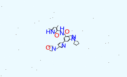 Cc1cc(C)c(CNC(=O)c2cc(-c3ccc(CN4CCOCC4)cn3)cc3c2cnn3C2CCCC2)c(=O)[nH]1